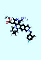 Cc1cc(F)ccc1CN1CCc2cc(-c3c(CN)nc(C)c(CC(=O)OC(C)C)c3N3CCC(C)(C)CC3)ccc2C1